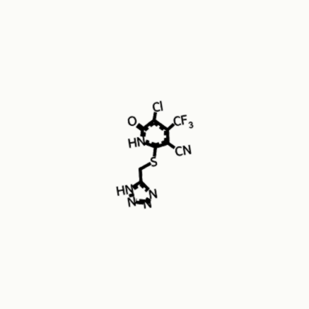 N#Cc1c(SCc2nnn[nH]2)[nH]c(=O)c(Cl)c1C(F)(F)F